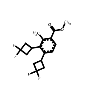 COC(=O)c1ccc(C2CC(F)(F)C2)c(C2CC(F)(F)C2)c1C